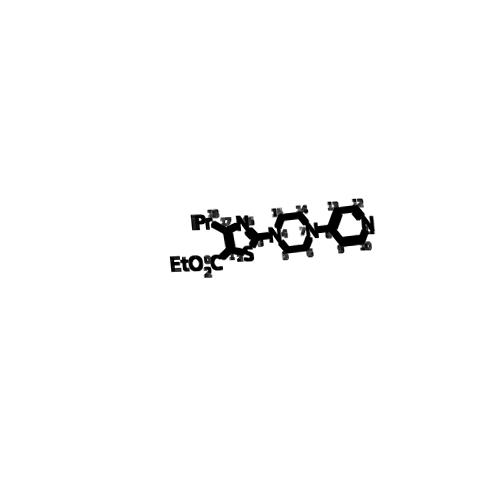 CCOC(=O)c1sc(N2CCN(c3ccncc3)CC2)nc1C(C)C